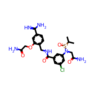 CC(C)[S+]([O-])N(CC(N)=O)c1cc(Cl)cc(C(=O)NCc2ccc(C(=N)N)cc2OCC(N)=O)c1